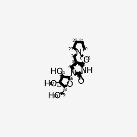 C[N+]1(Cc2cn([C@@H]3O[C@H](CO)[C@H](O)C3O)c(=O)[nH]c2=O)CCCC1